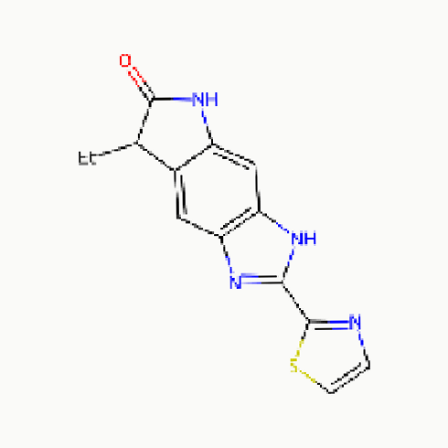 CCC1C(=O)Nc2cc3[nH]c(-c4nccs4)nc3cc21